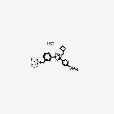 COc1ccc(-c2nc(-c3cccc(CN(C)C)c3)nn2CC2CCC2)cc1.Cl